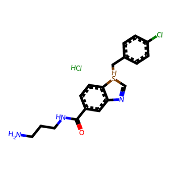 Cl.NCCCNC(=O)c1ccc2c(c1)N=C[SH]2Cc1ccc(Cl)cc1